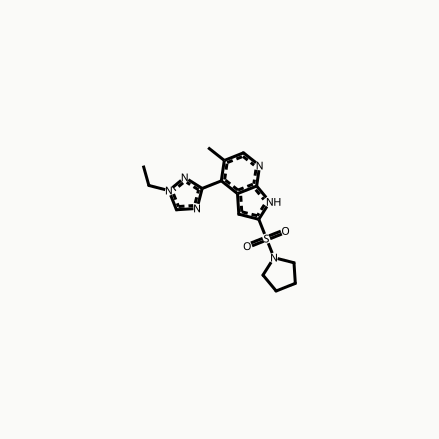 CCn1cnc(-c2c(C)cnc3[nH]c(S(=O)(=O)N4CCCC4)cc23)n1